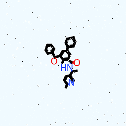 Cc1ccc(C(C)NC(=O)c2cc(-c3ccccc3)cc(C(=O)c3ccccc3)c2C)cn1